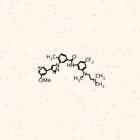 COc1cncc(-c2cn(-c3cc(C(=O)Nc4cc(N(C)CCN(C)C)cc(C(F)(F)F)c4)ccc3C)nn2)c1